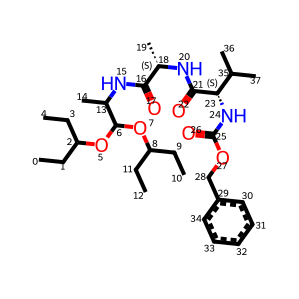 CCC(CC)OC(OC(CC)CC)C(C)NC(=O)[C@H](C)NC(=O)[C@@H](NC(=O)OCc1ccccc1)C(C)C